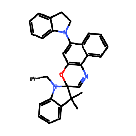 CC(C)CN1c2ccccc2C(C)(C)C12C=Nc1c(cc(N3CCc4ccccc43)c3ccccc13)O2